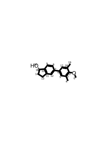 COc1c(C)cc(-c2ccc3c(c2)CC[C@@H]3O)cc1C